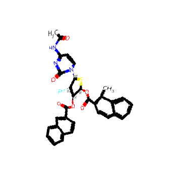 CC(=O)Nc1ccn([C@@H]2S[C@@H](OC(=O)c3ccc4ccccc4c3C)[C@@H](OC(=O)c3ccc4ccccc4c3)[C@@H]2F)c(=O)n1